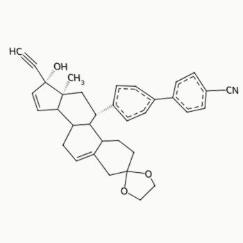 C#C[C@]1(O)C=CC2C3CC=C4CC5(CCC4C3[C@@H](c3ccc(-c4ccc(C#N)cc4)cc3)C[C@@]21C)OCCO5